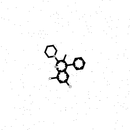 [CH2]c1c(N2CCCCC2)nc2c(Cl)cc(Cl)cc2c1-c1ccccc1